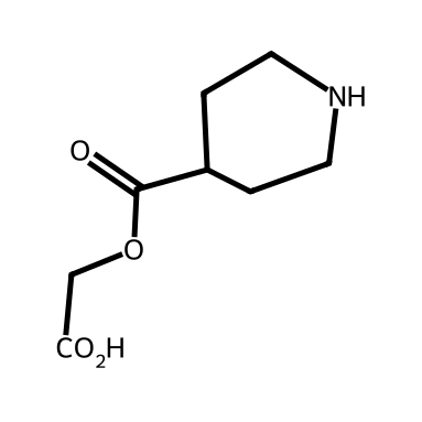 O=C(O)COC(=O)C1CCNCC1